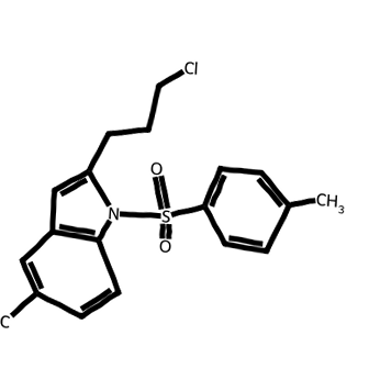 Cc1ccc(S(=O)(=O)n2c(CCCCl)cc3cc(C#N)ccc32)cc1